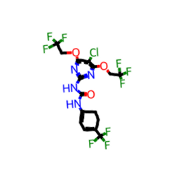 O=C(NC1=CC=C(C(F)(F)F)CC1)Nc1nc(OCC(F)(F)F)c(Cl)c(OCC(F)(F)F)n1